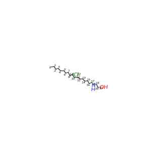 CCCCCCCCCCCCCCCCCCNCCO.Cl